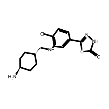 N[C@H]1CC[C@H](CNc2cc(-c3n[nH]c(=O)o3)ccc2Cl)CC1